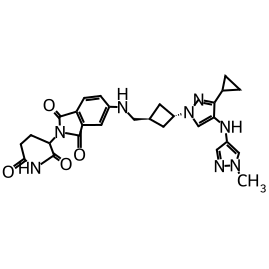 Cn1cc(Nc2cn([C@H]3C[C@H](CNc4ccc5c(c4)C(=O)N(C4CCC(=O)NC4=O)C5=O)C3)nc2C2CC2)cn1